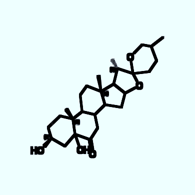 CC1CCC2(OC1)OC1CC3C4CC(=O)C5(O)C[C@@H](O)CC[C@]5(C)C4CC[C@]3(C)C1[C@@H]2C